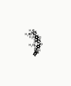 CCOc1cc(C(=O)N2CCc3c(c(=O)oc4c(C)c(N5CCN(C)[C@@H](COC)C5)cc(Cl)c34)C2)ccc1C(=O)NS(=O)(=O)N1C2CCC1CC2